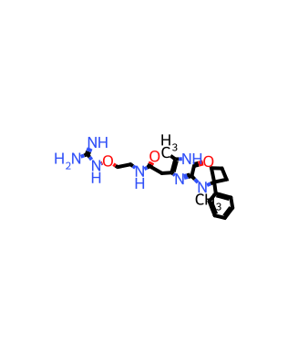 Cc1[nH]c(=O)c(N(C)C2(c3ccccc3)CCC2)nc1CC(=O)NCCONC(=N)N